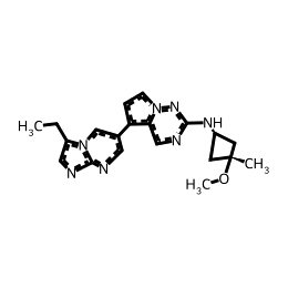 CCc1cnc2ncc(-c3ccn4nc(N[C@H]5C[C@@](C)(OC)C5)ncc34)cn12